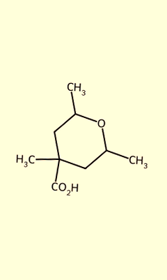 CC1CC(C)(C(=O)O)CC(C)O1